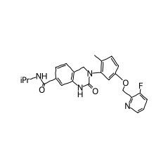 Cc1ccc(OCc2ncccc2F)cc1N1Cc2ccc(C(=O)NC(C)C)cc2NC1=O